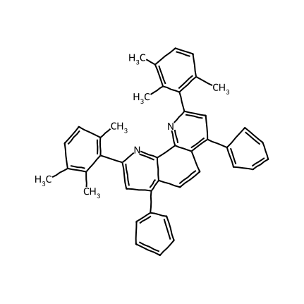 Cc1ccc(C)c(-c2cc(-c3ccccc3)c3ccc4c(-c5ccccc5)cc(-c5c(C)ccc(C)c5C)nc4c3n2)c1C